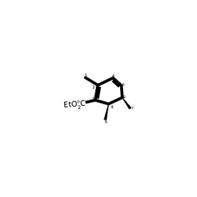 CCOC(=O)C1=C(C)C=C[C@@H](C)[C@H]1C